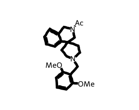 COc1cccc(OC)c1CN1CCC2(CC1)CN(C(C)=O)Cc1ccccc12